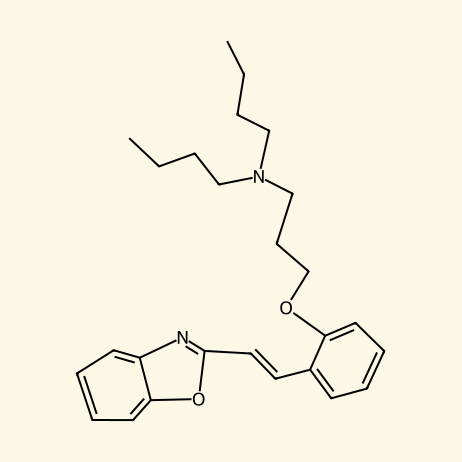 CCCCN(CCCC)CCCOc1ccccc1C=Cc1nc2ccccc2o1